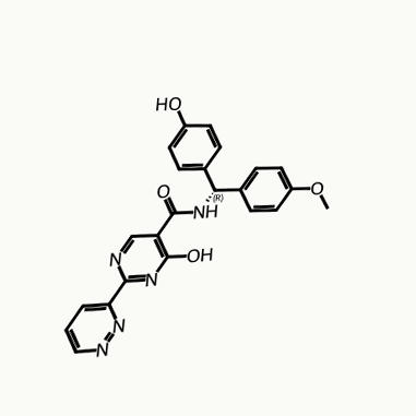 COc1ccc([C@H](NC(=O)c2cnc(-c3cccnn3)nc2O)c2ccc(O)cc2)cc1